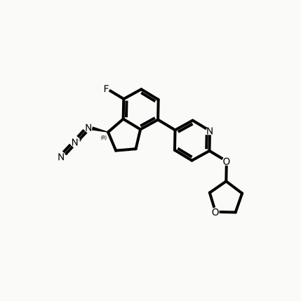 [N-]=[N+]=N[C@@H]1CCc2c(-c3ccc(OC4CCOC4)nc3)ccc(F)c21